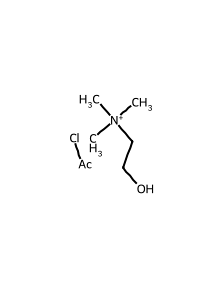 CC(=O)Cl.C[N+](C)(C)CCO